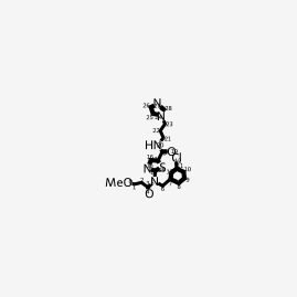 COCCC(=O)N(Cc1cccc(Cl)c1)c1ncc(C(=O)NCCCn2ccnc2)s1